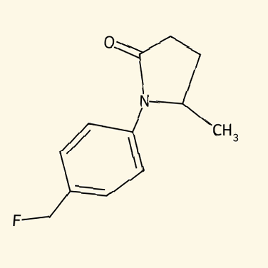 CC1CCC(=O)N1c1ccc(CF)cc1